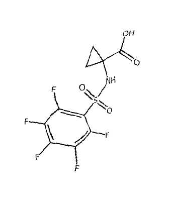 O=C(O)C1(NS(=O)(=O)c2c(F)c(F)c(F)c(F)c2F)CC1